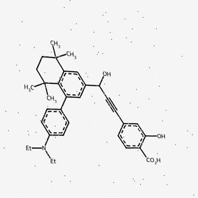 CCN(CC)c1ccc(-c2cc(C(O)C#Cc3ccc(C(=O)O)c(O)c3)cc3c2C(C)(C)CCC3(C)C)cc1